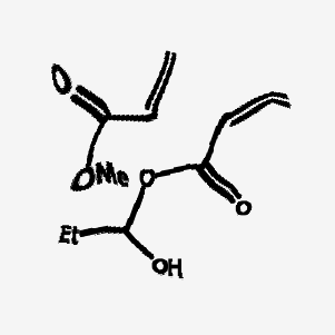 C=CC(=O)OC.C=CC(=O)OC(O)CC